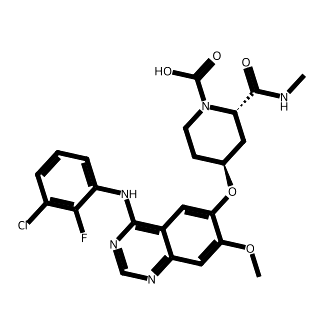 CNC(=O)[C@@H]1C[C@@H](Oc2cc3c(Nc4cccc(Cl)c4F)ncnc3cc2OC)CCN1C(=O)O